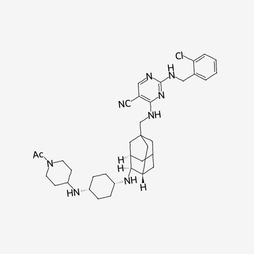 CC(=O)N1CCC(N[C@H]2CC[C@@H](N[C@H]3[C@@H]4CC5C[C@H]3CC(CNc3nc(NCc6ccccc6Cl)ncc3C#N)(C5)C4)CC2)CC1